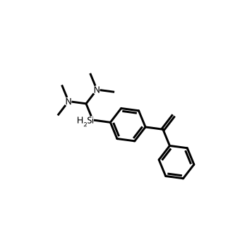 C=C(c1ccccc1)c1ccc([SiH2]C(N(C)C)N(C)C)cc1